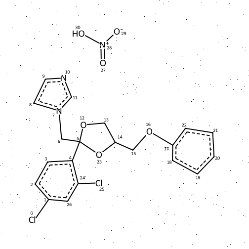 Clc1ccc(C2(Cn3ccnc3)OCC(COc3ccccc3)O2)c(Cl)c1.O=[N+]([O-])O